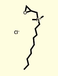 CCCCCCCCCC[N+](C)(C)CC1CO1.[Cl-]